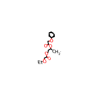 [CH2]C(CCOC(=O)COCC)OC(=O)COc1ccccc1